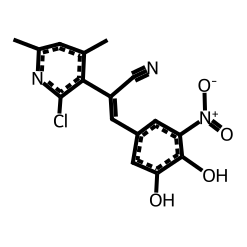 Cc1cc(C)c(/C(C#N)=C/c2cc(O)c(O)c([N+](=O)[O-])c2)c(Cl)n1